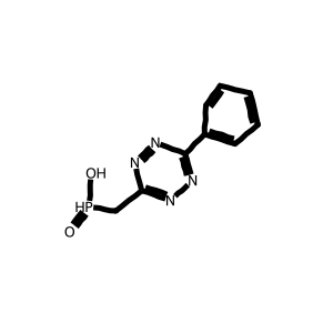 O=[PH](O)Cc1nnc(-c2ccccc2)nn1